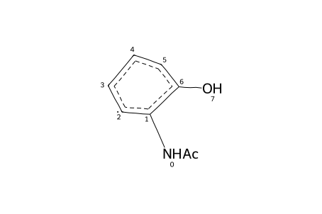 CC(=O)Nc1[c]cccc1O